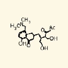 CC(=O)CC(=O)C(CO)C(CCO)CC1CC(=O)c2c(O)ccc(CN(C)C)c2C1